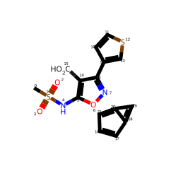 CS(=O)(=O)Nc1onc(-c2ccsc2)c1C(=O)O.c1cc2cc-2c1